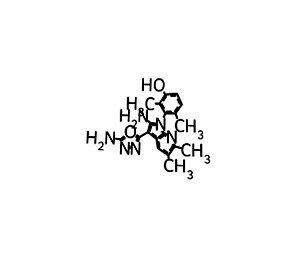 Cc1cc2c(-c3nnc(N)o3)c(N)n(-c3c(C)ccc(O)c3C)c2nc1C